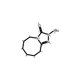 CC(C)(C)n1nc2n(c1=O)CCCCCC2